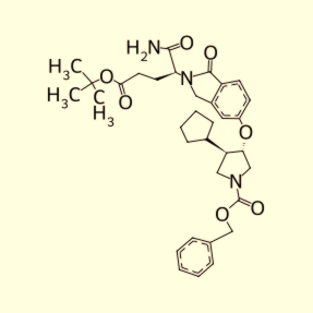 CC(C)(C)OC(=O)CC[C@@H](C(N)=O)N1Cc2cc(O[C@@H]3CN(C(=O)OCc4ccccc4)C[C@H]3C3CCCC3)ccc2C1=O